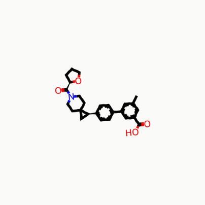 Cc1cc(C(=O)O)cc(-c2ccc([C@H]3CC34CCN(C(=O)[C@H]3CCCO3)CC4)cc2)c1